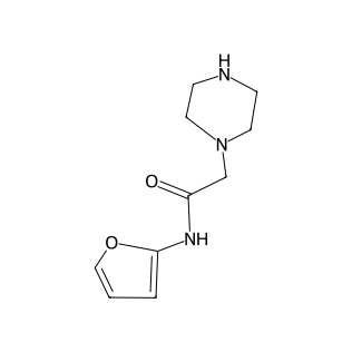 O=C(CN1CCNCC1)Nc1ccco1